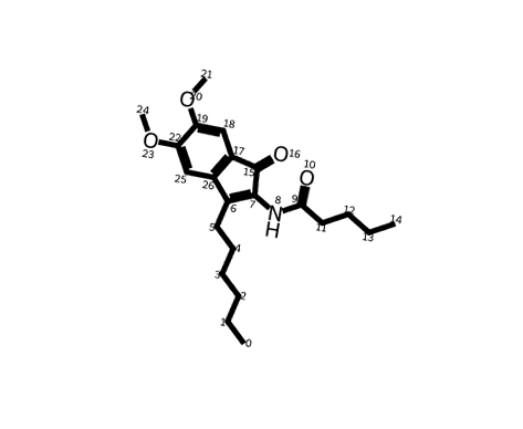 CCCCCCC1=C(NC(=O)CCCC)C(=O)c2cc(OC)c(OC)cc21